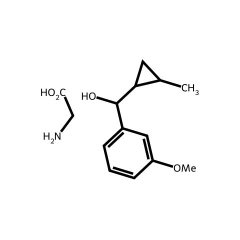 COc1cccc(C(O)C2CC2C)c1.NCC(=O)O